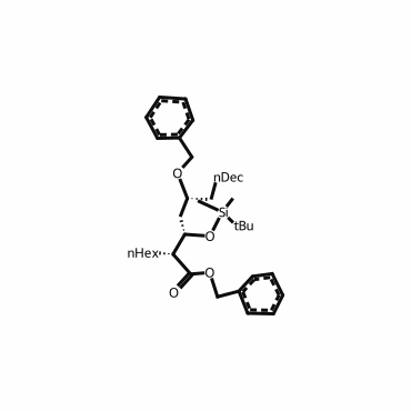 CCCCCCCCCCC[C@H](C[C@H](O[Si](C)(C)C(C)(C)C)[C@@H](CCCCCC)C(=O)OCc1ccccc1)OCc1ccccc1